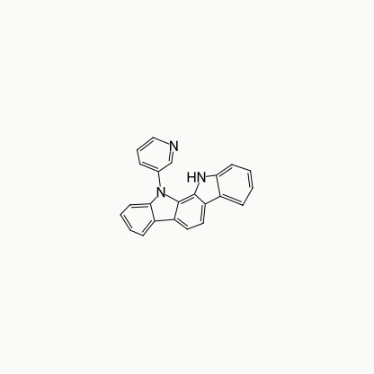 c1cncc(-n2c3ccccc3c3ccc4c5ccccc5[nH]c4c32)c1